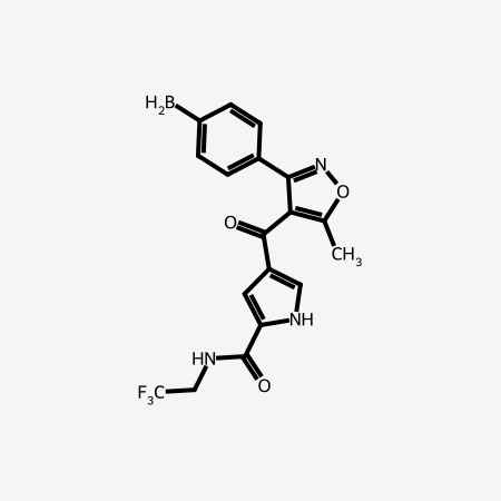 Bc1ccc(-c2noc(C)c2C(=O)c2c[nH]c(C(=O)NCC(F)(F)F)c2)cc1